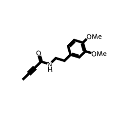 CC#CC(=O)NCCc1ccc(OC)c(OC)c1